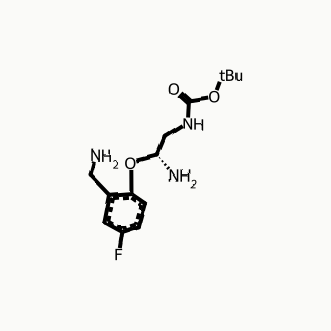 CC(C)(C)OC(=O)NC[C@H](N)Oc1ccc(F)cc1CN